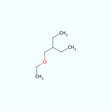 C[CH]OCC(CC)CC